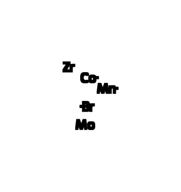 [Br].[Co].[Mn].[Mo].[Zr]